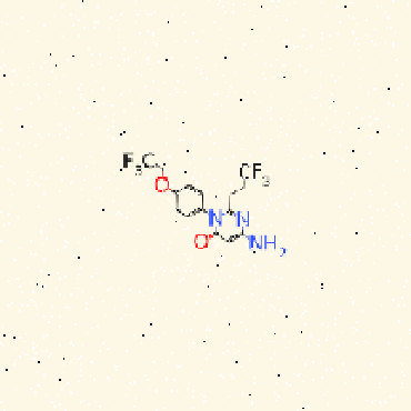 Nc1cc(=O)n(-c2ccc(OCC(F)(F)F)cc2)c(CCC(F)(F)F)n1